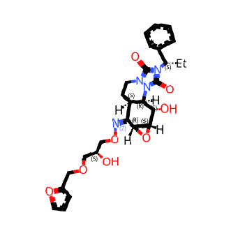 CC[C@@H](c1ccccc1)n1c(=O)n2n(c1=O)[C@H]1[C@H](O)[C@@H]3O[C@@H]3/C(=N\OC[C@@H](O)COCc3ccco3)[C@H]1CC2